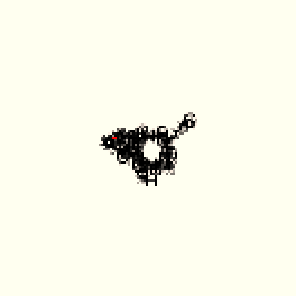 COC(C)(C)CCCCCC[C@H]1OC(=O)CNC(=O)[C@H]([C@H](C)OCc2ccccc2)NC(=O)[C@H](CNC(=O)OCc2ccccc2)NC(=O)[C@H](C2CCCCC2)NC(=O)[C@H](CC(C)C)N(C)C(=O)[C@@H]1C